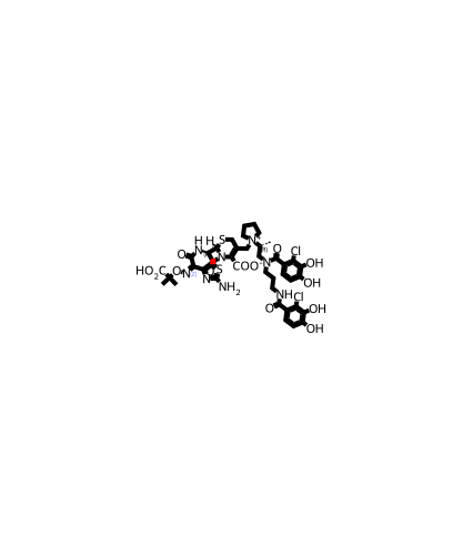 C[C@H](CN(CCCNC(=O)c1ccc(O)c(O)c1Cl)C(=O)c1ccc(O)c(O)c1Cl)[N+]1(CC2=C(C(=O)[O-])N3C(=O)[C@@H](NC(=O)/C(=N\OC(C)(C)C(=O)O)c4csc(N)n4)[C@H]3SC2)CCCC1